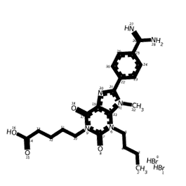 Br.Br.CCCCn1c(=O)n(CCCCC(=O)O)c(=O)c2nc(-c3ccc(C(=N)N)cc3)n(C)c21